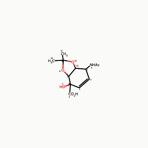 CC(=O)NC1C=CC(O)(C(=O)O)C2OC(C)(C)OC12